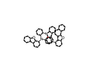 c1ccc(-n2c3ccccc3c3ccccc32)c(N(c2ccc(-c3cccc4oc5c6ccccc6ccc5c34)cc2)c2cccc3c2oc2ccccc23)c1